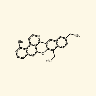 CC(C)(C)Cc1ccc2c(CC(C)(C)C)c3c(cc2c1)-c1nccc2c1c(cc1cccc(C(C)(C)C)c12)O3